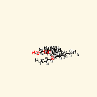 C=C.C=C.C=C.C=C.C=C.CCCCCCCCOCCCC.OCCO